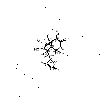 CC1=CC(=O)O[C@@H]1[C@@]1(C)C[C@H]2OC(=O)[C@H](O)[C@H]3[C@@H](C)[C@H](O)[C@]4(O)OC[C@@]32[C@@H]14